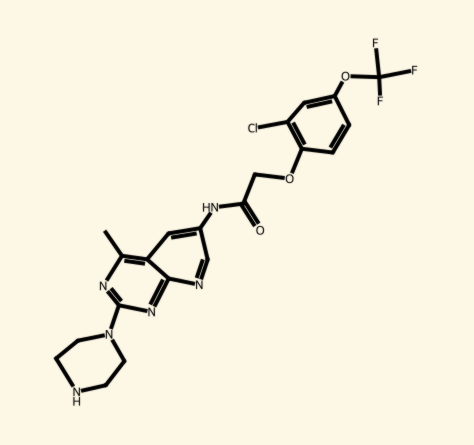 Cc1nc(N2CCNCC2)nc2ncc(NC(=O)COc3ccc(OC(F)(F)F)cc3Cl)cc12